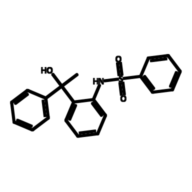 CC(O)(c1ccccc1)c1ccccc1NS(=O)(=O)c1ccccc1